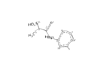 CC(C(=O)Nc1cc[c]cc1)S(=O)(=O)O